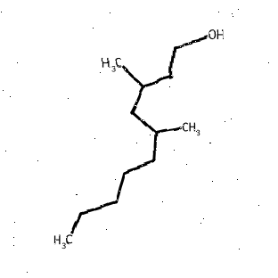 CCCCCC(C)CC(C)CCO